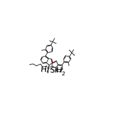 CCCCC[CH2][Hf]([CH3])([CH3])([CH3])(=[SiH2])([CH]1C=Cc2c(-c3ccc(C(C)(C)C)cc3C)cccc21)[CH]1C=Cc2c(-c3ccc(C(C)(C)C)cc3C)cccc21